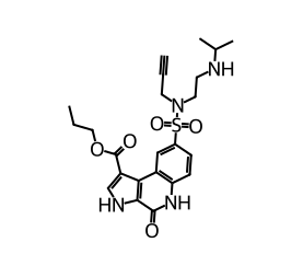 C#CCN(CCNC(C)C)S(=O)(=O)c1ccc2[nH]c(=O)c3[nH]cc(C(=O)OCCC)c3c2c1